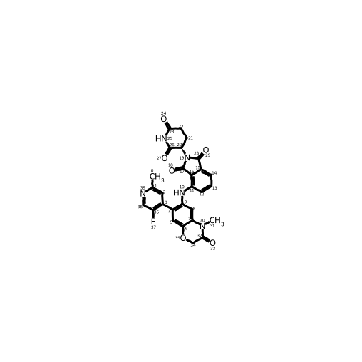 Cc1cc(-c2cc3c(cc2Nc2cccc4c2C(=O)N([C@@H]2CCC(=O)NC2=O)C4=O)N(C)C(=O)CO3)c(F)cn1